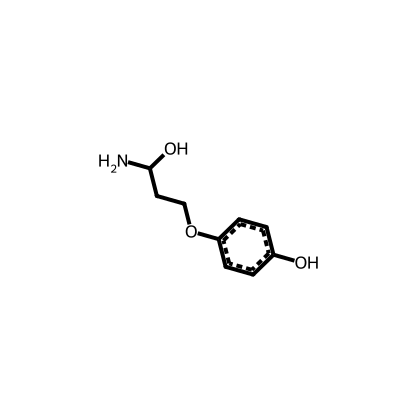 NC(O)CCOc1ccc(O)cc1